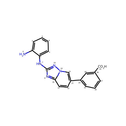 Nc1ccccc1Nc1nc2ccc(-c3cccc(C(=O)O)c3)cn2n1